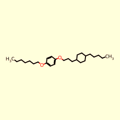 CCCCCCCOc1ccc(OCCCC2CCC(CCCCC)CC2)cc1